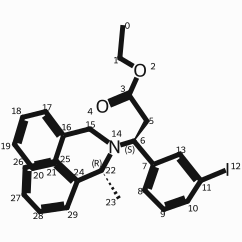 CCOC(=O)C[C@@H](c1cccc(I)c1)N(Cc1ccccc1)[C@H](C)c1ccccc1